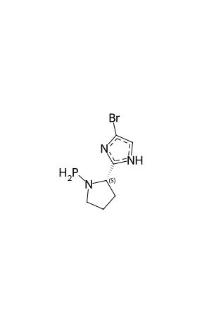 PN1CCC[C@H]1c1nc(Br)c[nH]1